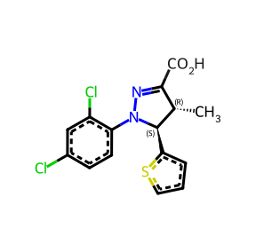 C[C@H]1C(C(=O)O)=NN(c2ccc(Cl)cc2Cl)[C@@H]1c1cccs1